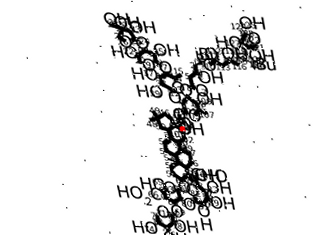 CC[C@H](C)[C@H](C[C@H](O)CC(=O)OC1C(O[C@@H]2OC(C)[C@H](O[C@H]3OCC(O)[C@H](O[C@@H]4OCC(O)(CO)C4O)C3O)C(O)C2O)[C@H](OC(=O)[C@]23CCC(C)(C)CC2C2=CCC4[C@@]5(C)CC[C@H](O[C@@H]6OC(O)(C(=O)O)CC(O[C@@H]7OC[C@@H](O)C(O)C7O)C6O[C@@H]6OC(CO)[C@H](O)C(O)C6O)[C@@](C)(C=O)C5CC[C@@]4(C)[C@]2(C)C[C@H]3O)OC(C)[C@H]1O)OC(=O)C[C@@H](O)C[C@H](OC1(O)CO[C@@H](CO)C1O)[C@@H](C)CC